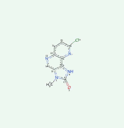 Cn1c(=O)[nH]c2c3nc(Cl)ccc3ncc21